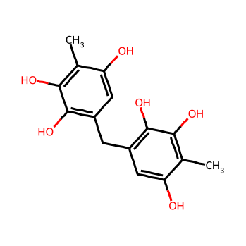 Cc1c(O)cc(Cc2cc(O)c(C)c(O)c2O)c(O)c1O